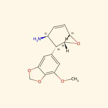 COc1cc([C@H]2[C@H]3O[C@H]3C=C[C@@H]2N)cc2c1OCO2